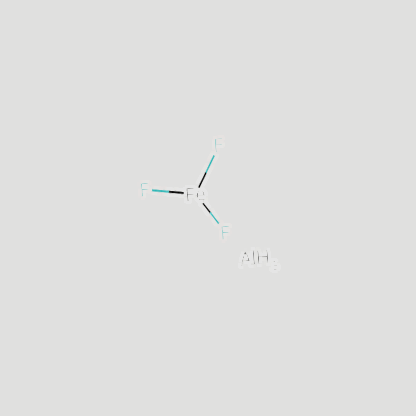 [AlH3].[F][Fe]([F])[F]